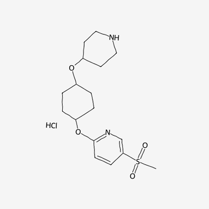 CS(=O)(=O)c1ccc(OC2CCC(OC3CCNCC3)CC2)nc1.Cl